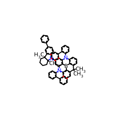 CC1(C)c2cccc3c2B2c4c(cc(N5c6ccc(-c7ccccc7)cc6C6(C)CCCCC56C)cc4N(c4ccccc4-c4ccccc4)c4cccc1c42)N3c1ccccc1-c1ccccc1